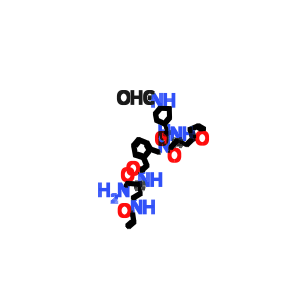 C=CC(=O)NCC[C@H](NC(=O)Cc1ccccc1CNC(=O)[C@H](Cc1ccco1)NC(=O)[C@H]1CC[C@@H](NC=O)CC1)C(N)=O